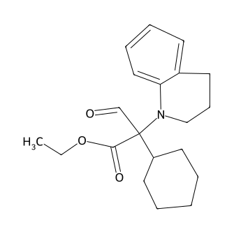 CCOC(=O)C(C=O)(C1CCCCC1)N1CCCc2ccccc21